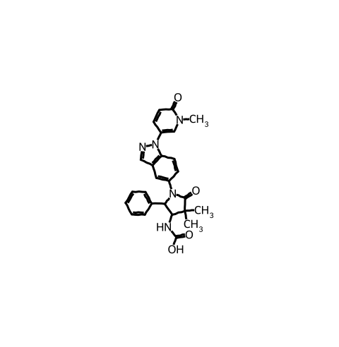 Cn1cc(-n2ncc3cc(N4C(=O)C(C)(C)C(NC(=O)O)C4c4ccccc4)ccc32)ccc1=O